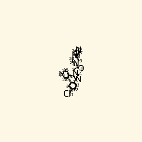 O=C(Cn1cnc(-c2ccc(Cl)cc2)c1-c1ccncc1)N1CCn2cncc2C1